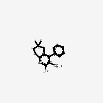 CC(C)c1nc2c(c(-c3ccccc3)c1C(=O)O)CC(C)(C)CC2